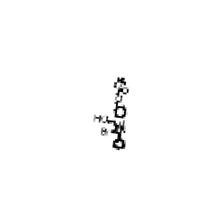 CC(C)(C)OC(=O)COC[C@H]1CC[C@H](Cn2nc(-c3ccccc3)c(Br)c2CCO)CC1